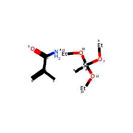 C=C(C)C(N)=O.CCO[Si](C)(OCC)OCC